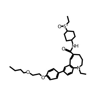 CCCCOCCOc1ccc(-c2ccc3c(c2)/C=C(/C(=O)NC2CCC([S+]([O-])CC)CC2)CCCN3CC)cc1